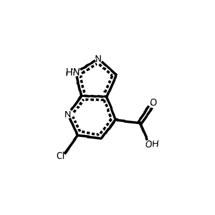 O=C(O)c1cc(Cl)nc2[nH]ncc12